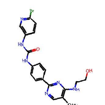 COc1cnc(-c2ccc(NC(=O)Nc3ccc(Br)nc3)cc2)nc1NCCO